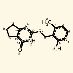 Cc1ccnc(C)c1CSc1nc2c(c(=O)[nH]1)CCC2